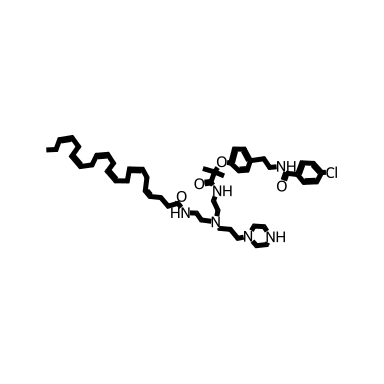 CC/C=C\C/C=C\C/C=C\C/C=C\C/C=C\C/C=C\CCC(=O)NCCN(CCCN1CCNCC1)CCNC(=O)C(C)(C)Oc1ccc(CCNC(=O)c2ccc(Cl)cc2)cc1